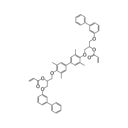 C=CC(=O)OC(COc1cccc(-c2ccccc2)c1)COc1c(C)cc(-c2cc(C)c(OCC(COc3cccc(-c4ccccc4)c3)OC(=O)C=C)c(C)c2)cc1C